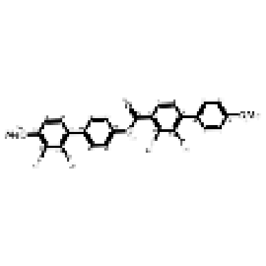 COc1ccc(-c2ccc(C(=O)Oc3ccc(-c4ccc(OC)c(F)c4F)cc3)c(F)c2F)cc1